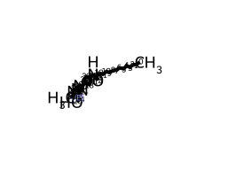 CCCCCCCCCCCCCC(=O)Nc1ccc(-c2nc3/c(=C/O)c(C)nn3n2)cc1